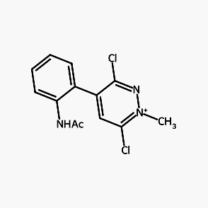 CC(=O)Nc1ccccc1-c1cc(Cl)[n+](C)nc1Cl